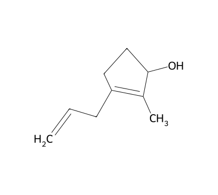 C=CCC1=C(C)C(O)CC1